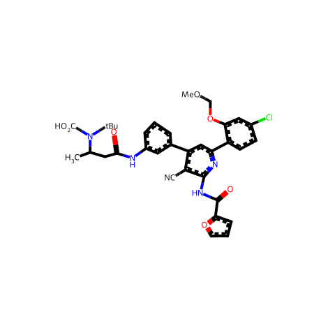 COCOc1cc(Cl)ccc1-c1cc(-c2cccc(NC(=O)CC(C)N(C(=O)O)C(C)(C)C)c2)c(C#N)c(NC(=O)c2ccco2)n1